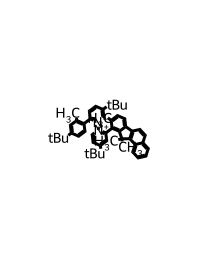 Cc1cc(C(C)(C)C)ccc1-c1ccc(C(C)(C)C)c[n+]1-[n+]1ccc(C(C)(C)C)cc1-c1c(C)ccc2c1C(C)(C)c1c-2ccc2ccccc12